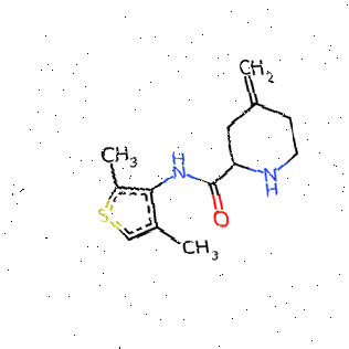 C=C1CCNC(C(=O)Nc2c(C)csc2C)C1